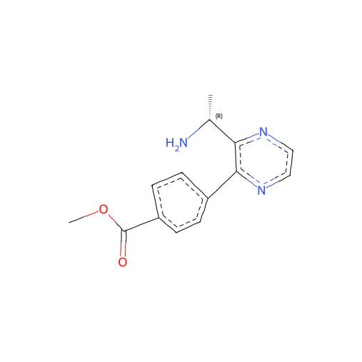 COC(=O)c1ccc(-c2nccnc2[C@@H](C)N)cc1